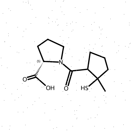 CC1(S)CCCC1C(=O)N1CCC[C@H]1C(=O)O